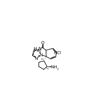 Cl.NC(=O)C1C=CC=CC1([C@H]1CCC[C@@H]1N)n1nccn1